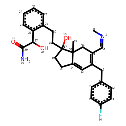 C/N=C\C1=C(Cc2ccc(F)cc2)C=C2CCC(O)(CCc3ccccc3C(O)C(N)=O)C2(C)C1